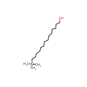 C[N+](C)(C)CCCCCCCCCCCCCCO